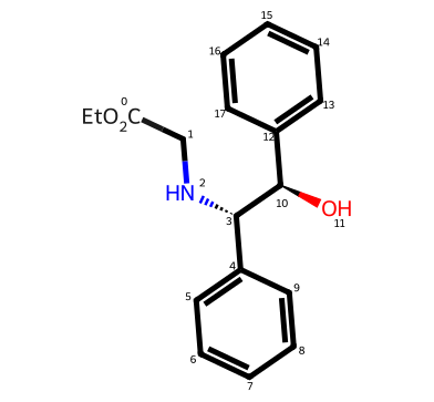 CCOC(=O)CN[C@@H](c1ccccc1)[C@H](O)c1ccccc1